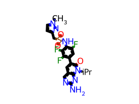 CC(C)n1c(=O)c(-c2cc(F)c(NS(=O)(=O)Cc3ccn(C)n3)c(F)c2F)cc2cnc(N)nc21